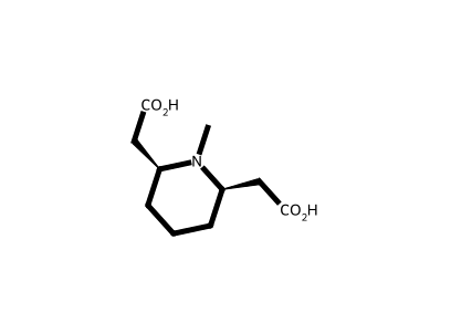 CN1[C@@H](CC(=O)O)CCC[C@H]1CC(=O)O